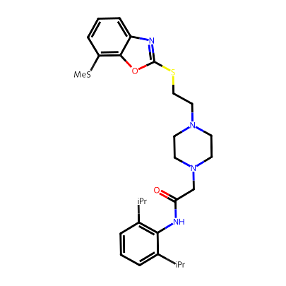 CSc1cccc2nc(SCCN3CCN(CC(=O)Nc4c(C(C)C)cccc4C(C)C)CC3)oc12